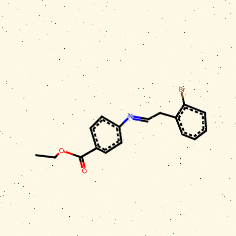 CCOC(=O)c1ccc(N=CCc2ccccc2Br)cc1